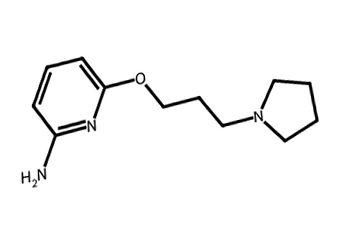 Nc1cccc(OCCCN2CCCC2)n1